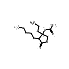 CCCCCC1C(=O)CCC1(CCC)OC(C)=O